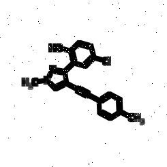 Cc1ccc(C#Cc2cn(C)nc2-c2cc(Cl)ccc2O)cc1